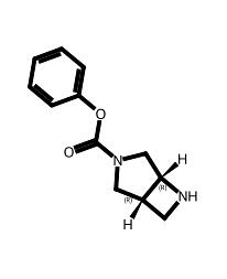 O=C(Oc1ccccc1)N1C[C@H]2CN[C@H]2C1